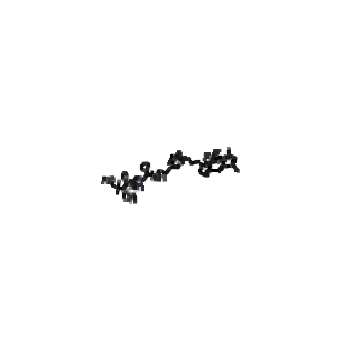 CC1=CC(C)=[N+]2C1=Cc1ccc(CCCn3cc(CCNC(=O)/C=C/NC(=O)[C@H](O)C(C)(C)CO)nn3)n1[B-]2(F)F